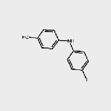 Oc1ccc(Nc2ccc(I)cc2)cc1